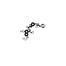 COc1ccc2c(O)cc3c(c2c1)[C@H](CCl)CN3C(=O)c1cc2cc(NC(=O)CCN3CCOCC3)ccc2s1